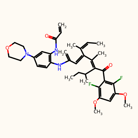 C=CC(=O)Nc1cc(N2CCOCC2)ccc1NC(=C)/C=C(C(\C)=C/C)/C(C)=C(/C(=O)c1c(F)c(OC)cc(OC)c1F)C(C)CC